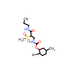 CC1CCC(C(C)C)C(OC(=O)NCC(C(=O)NCCC#N)S(C)(=O)=O)C1